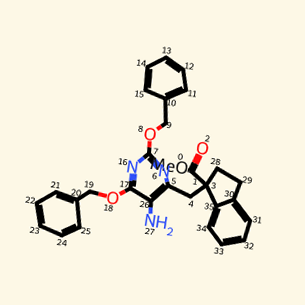 COC(=O)C1(Cc2nc(OCc3ccccc3)nc(OCc3ccccc3)c2N)CCc2ccccc21